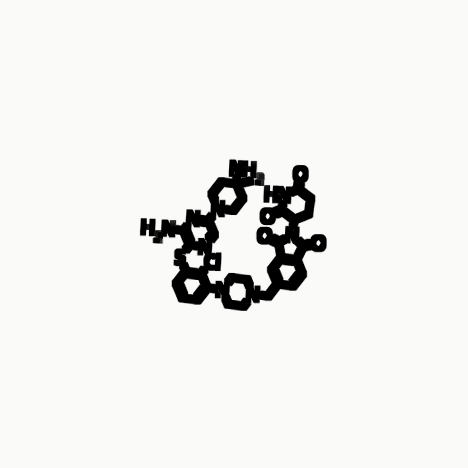 CC1(N)CCN(c2cnc(Sc3cccc(N4CCN(Cc5ccc6c(c5)C(=O)N(C5CCC(=O)NC5=O)C6=O)CC4)c3Cl)c(N)n2)CC1